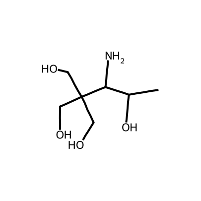 CC(O)C(N)C(CO)(CO)CO